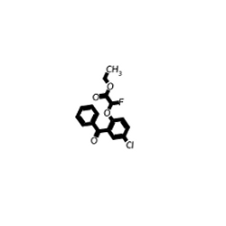 CCOC(=O)C(F)Oc1ccc(Cl)cc1C(=O)c1ccccc1